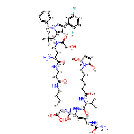 CC(C)[C@H](NC(=O)CCCCCN1C(=O)C=CC1=O)C(=O)N[C@@H](/C=C/CNC(N)=O)C(=O)N[C@@H](CCCCNC(=O)CCNC(=O)[C@@H](N)CCN(C(=O)CO)[C@@H](c1cc(-c2cc(F)ccc2F)cn1Cc1ccccc1)C(C)(C)C)C(=O)O